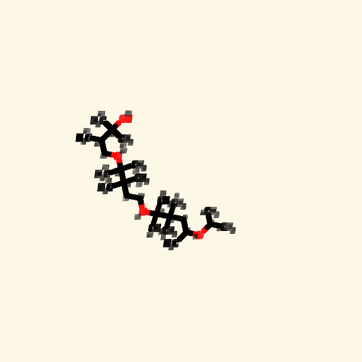 CC(C)OC(C)CC(C)(C)C(C)(C)OCCC(C)(C)C(C)(C)OCC(C)C(C)(C)O